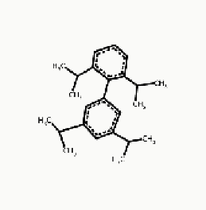 CC(C)c1[c]c(C(C)C)cc(-c2c(C(C)C)cccc2C(C)C)c1